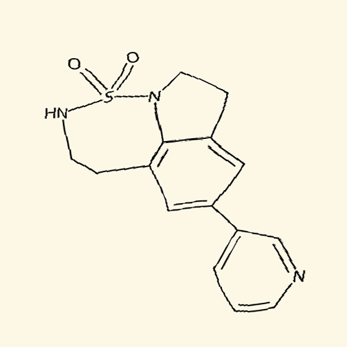 O=S1(=O)NCCc2cc(-c3cccnc3)cc3c2N1CC3